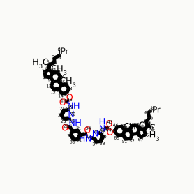 CC(C)CCCC(C)C1CCC2C3CC=C4CC(OC(=O)Nc5cccc(NC(=O)c6cccc(C(=O)Nc7cccc(NC(=O)OC8CCC9(C)C(=CCC%10C9CCC9(C)C(C(C)CCCC(C)C)CCC%109)C8)n7)c6)n5)CCC4(C)C3CCC12C